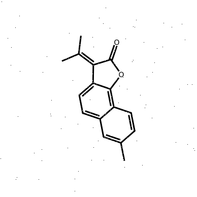 CC(C)=C1C(=O)Oc2c1ccc1cc(C)ccc21